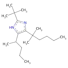 CCCCC(C)(C)c1nc(C(C)(C)C)[nH]c1C(C)CCC